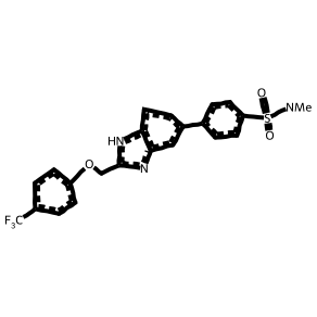 CNS(=O)(=O)c1ccc(-c2ccc3[nH]c(COc4ccc(C(F)(F)F)cc4)nc3c2)cc1